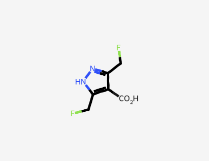 O=C(O)c1c(CF)n[nH]c1CF